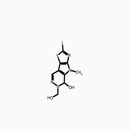 Cn1c2c(c3sc(I)nc31)C=NN(CO)C2O